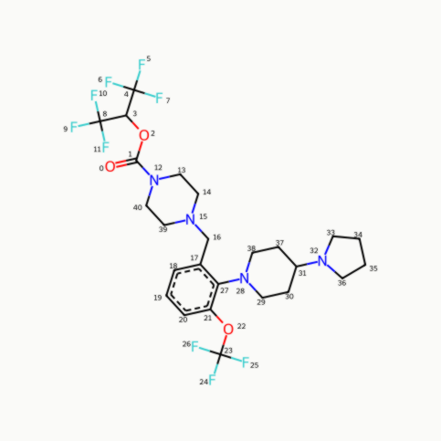 O=C(OC(C(F)(F)F)C(F)(F)F)N1CCN(Cc2cccc(OC(F)(F)F)c2N2CCC(N3CCCC3)CC2)CC1